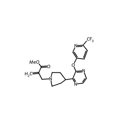 C=C(CN1CCC(c2nccnc2Oc2ccc(C(F)(F)F)nc2)CC1)C(=O)OC